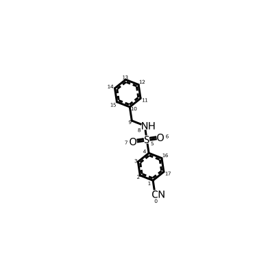 N#Cc1ccc(S(=O)(=O)NCc2ccccc2)cc1